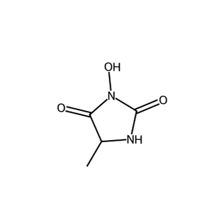 CC1NC(=O)N(O)C1=O